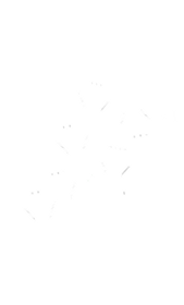 Cc1ccc(C2(c3ccc(C)cc3)c3ccccc3-c3ccc(-c4cc5ccccc5cc4Cl)cc32)cc1